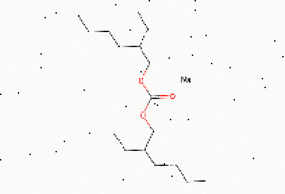 CCCCC(CC)COC(=O)OCC(CC)CCCC.[Na]